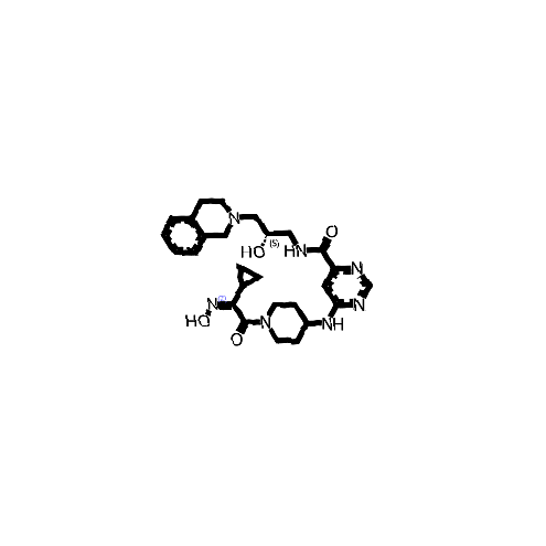 O=C(NC[C@H](O)CN1CCc2ccccc2C1)c1cc(NC2CCN(C(=O)/C(=N\O)C3CC3)CC2)ncn1